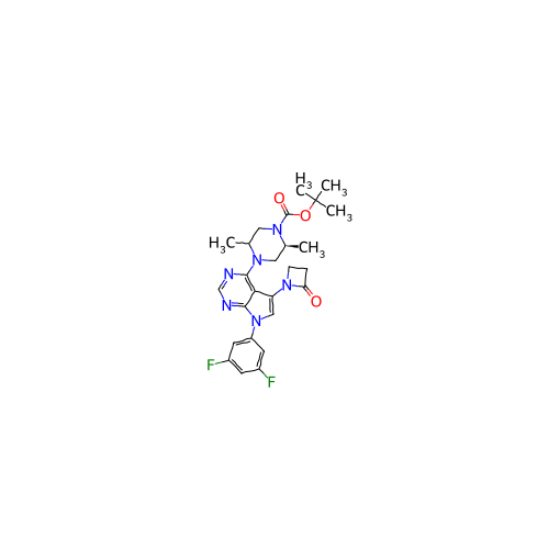 CC1CN(C(=O)OC(C)(C)C)[C@@H](C)CN1c1ncnc2c1c(N1CCC1=O)cn2-c1cc(F)cc(F)c1